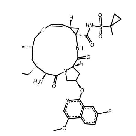 CC[C@@H]1C[C@H](C)CCC=C[C@@H]2C[C@@]2(C(=O)NS(=O)(=O)C2(C)CC2)NC(=O)[C@@H]2C[C@@H](Oc3ncc(OC)c4ccc(F)cc34)CN2C(=O)[C@H]1N